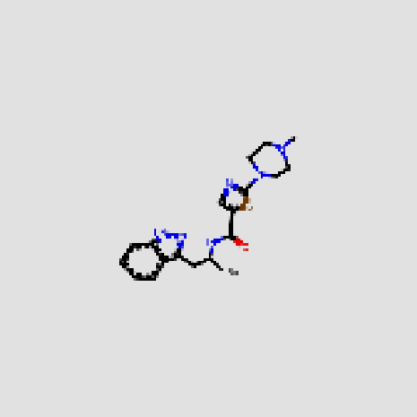 CCCCC(Cc1n[nH]c2ccccc12)NC(=O)c1cnc(N2CCN(C)CC2)s1